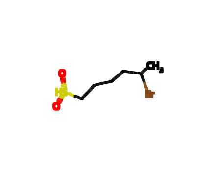 CC(Br)CCCC[SH](=O)=O